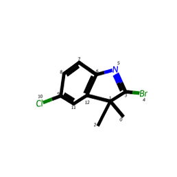 CC1(C)C(Br)=Nc2ccc(Cl)cc21